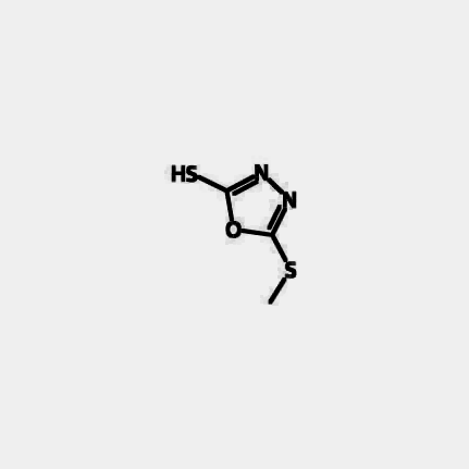 CSc1nnc(S)o1